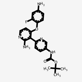 CC(C)(C)OC(=O)Nc1ccc(-c2c(Oc3ccc(N)cc3F)ccnc2N)nc1